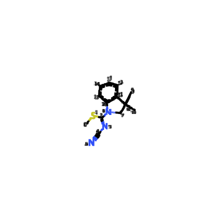 CSC(=NC#N)N1CC(C)(C)c2ccccc21